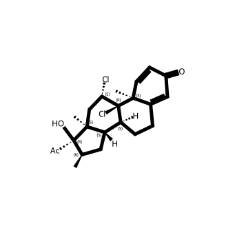 CC(=O)[C@@]1(O)[C@H](C)C[C@H]2[C@@H]3CCC4=CC(=O)C=C[C@]4(C)[C@@]3(Cl)[C@@H](Cl)C[C@@]21C